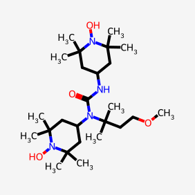 COCCC(C)(C)N(C(=O)NC1CC(C)(C)N(O)C(C)(C)C1)C1CC(C)(C)N(O)C(C)(C)C1